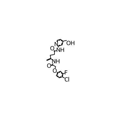 C=C(CCC(=O)Nc1cc(CO)ccn1)NC(=O)COc1ccc(Cl)c(F)c1